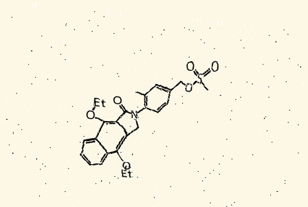 CCOc1c2c(c(OCC)c3ccccc13)C(=O)N(c1ccc(COS(C)(=O)=O)cc1C)C2